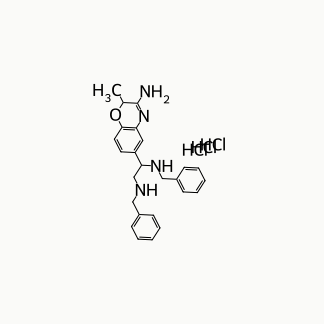 CC1Oc2ccc(C(CNCc3ccccc3)NCc3ccccc3)cc2N=C1N.Cl.Cl.Cl